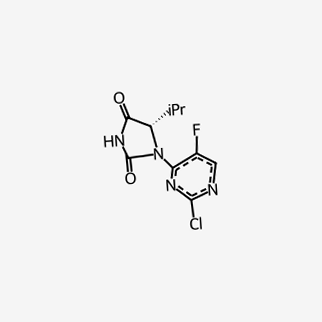 CC(C)[C@H]1C(=O)NC(=O)N1c1nc(Cl)ncc1F